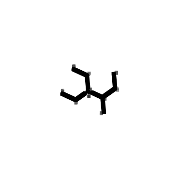 CC[CH](C)[Al]([CH2]C)[CH2]C